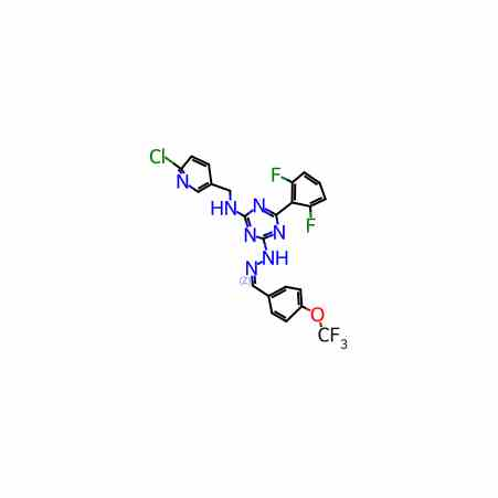 Fc1cccc(F)c1-c1nc(NCc2ccc(Cl)nc2)nc(N/N=C\c2ccc(OC(F)(F)F)cc2)n1